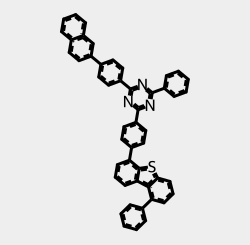 c1ccc(-c2nc(-c3ccc(-c4ccc5ccccc5c4)cc3)nc(-c3ccc(-c4cccc5c4sc4cccc(-c6ccccc6)c45)cc3)n2)cc1